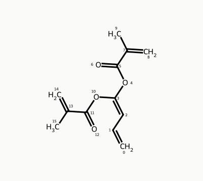 C=CC=C(OC(=O)C(=C)C)OC(=O)C(=C)C